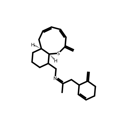 C=C1/C=C\C=C/C[C@@H]2CCCC(C/N=C(/C)CC3C=CCCC3=C)[C@@H]2S1